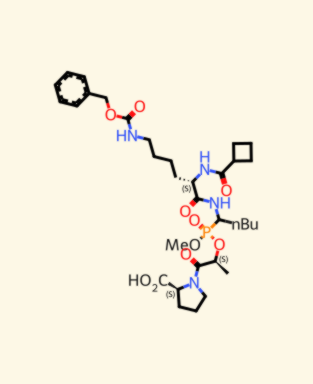 CCCCC(NC(=O)[C@H](CCCCNC(=O)OCc1ccccc1)NC(=O)C1CCC1)P(=O)(OC)O[C@@H](C)C(=O)N1CCC[C@H]1C(=O)O